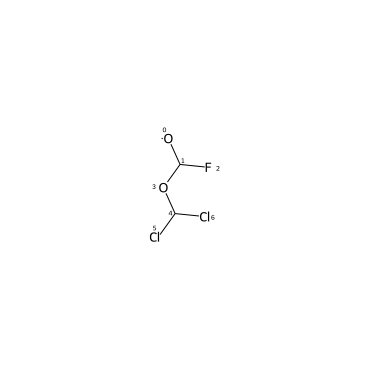 [O]C(F)OC(Cl)Cl